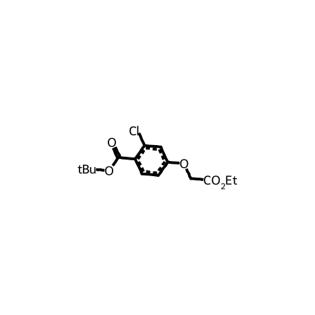 CCOC(=O)COc1ccc(C(=O)OC(C)(C)C)c(Cl)c1